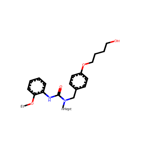 CCCCCCCN(Cc1ccc(OCCCCO)cc1)C(=O)Nc1ccccc1OCC